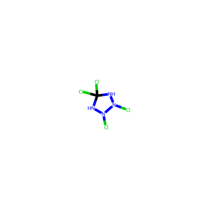 ClN1NC(Cl)(Cl)NN1Cl